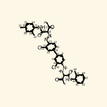 CC(=O)C(N=Nc1ccc(-c2ccc(N=NC(C(C)=O)C(=O)Nc3ccc(C)cc3C)c(Cl)c2)cc1Cl)C(=O)Nc1ccccc1C